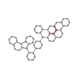 c1ccc(-c2ccccc2N(c2ccc(-c3ccccc3-n3c4ccccc4c4c5ccccc5ccc43)cc2)c2ccc3ccc4c5ccccc5ccc4c3c2)cc1